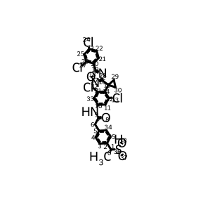 CC(c1ccc(CC(=O)Nc2cc(Cl)c(C3(c4noc(-c5ccc(Cl)cc5Cl)n4)CC3)c(Cl)c2)cc1)[SH](=O)=O